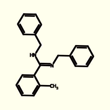 Cc1ccccc1C(=NCc1ccccc1)NCc1ccccc1